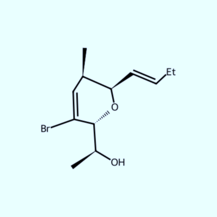 CC/C=C/[C@H]1O[C@H]([C@H](C)O)C(Br)=C[C@H]1C